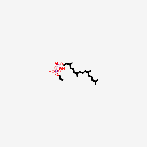 C=CCOP(=O)(O)OP(=O)(O)OCC=C(C)CCC=C(C)CCC=C(C)CCC=C(C)C